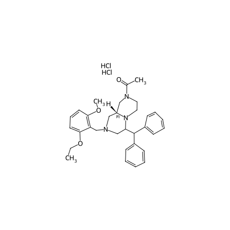 CCOc1cccc(OC)c1CN1CC(C(c2ccccc2)c2ccccc2)N2CCN(C(C)=O)C[C@H]2C1.Cl.Cl